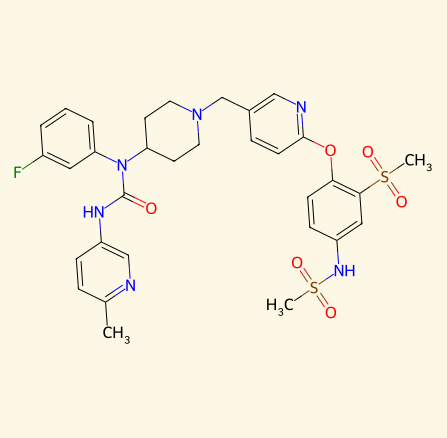 Cc1ccc(NC(=O)N(c2cccc(F)c2)C2CCN(Cc3ccc(Oc4ccc(NS(C)(=O)=O)cc4S(C)(=O)=O)nc3)CC2)cn1